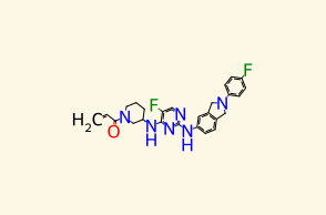 C=CC(=O)N1CCC[C@@H](Nc2nc(Nc3ccc4c(c3)CN(c3ccc(F)cc3)C4)ncc2F)C1